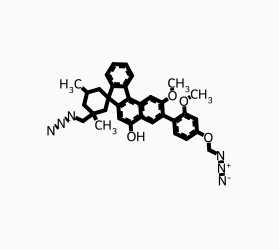 COc1cc(OCN=[N+]=[N-])ccc1-c1cc2c(O)cc3c(c2cc1OC)-c1ccccc1C31CC(C)CC(C)(CN=[N+]=[N-])C1